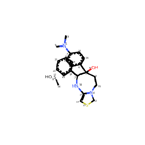 CN(C)c1ccc(C2(O)CCN3CSC=C3NC2c2ccccc2)cc1.CS(=O)(=O)O